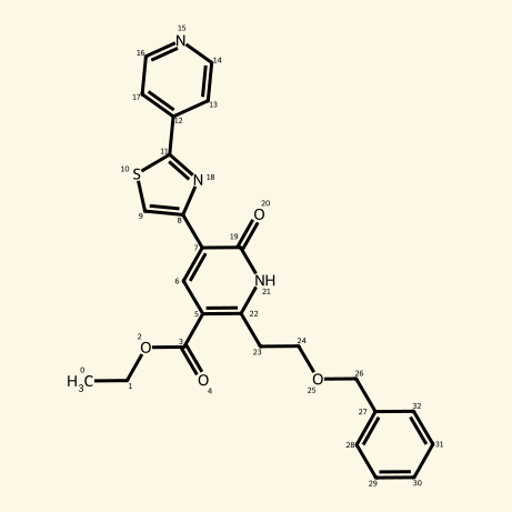 CCOC(=O)c1cc(-c2csc(-c3ccncc3)n2)c(=O)[nH]c1CCOCc1ccccc1